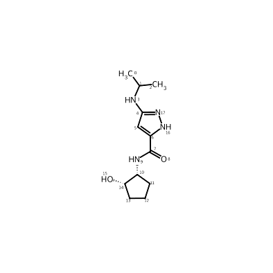 CC(C)Nc1cc(C(=O)N[C@@H]2CCC[C@@H]2O)[nH]n1